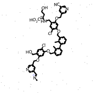 C/N=C/c1cncc(COc2cc(OCc3cccc(-c4cccc(COc5cc(OCc6cncc(C#N)c6)c(CN[C@H](CCO)C(=O)O)cc5Cl)c4C)c3C)c(Cl)cc2CO)c1